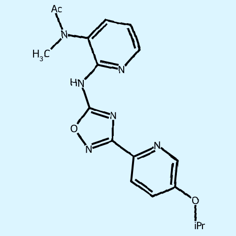 CC(=O)N(C)c1cccnc1Nc1nc(-c2ccc(OC(C)C)cn2)no1